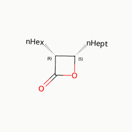 CCCCCCC[C@@H]1OC(=O)[C@@H]1CCCCCC